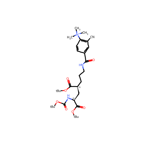 CC(C)(C)OC(=O)N[C@@H](C[C@H](CCCNC(=O)c1ccc([N+](C)(C)C)c(C#N)c1)C(=O)OC(C)(C)C)C(=O)OC(C)(C)C